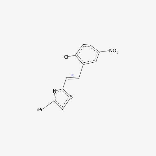 CC(C)c1csc(/C=C/c2cc([N+](=O)[O-])ccc2Cl)n1